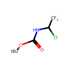 CC(C)(C)OC(=O)NC(Cl)C(F)(F)F